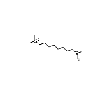 C[SiH2]CCCCCCCC[SiH2]C